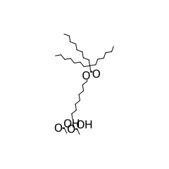 CC(=O)O.CC(=O)O.CCCCCCCCCOC(=O)C(CCCCCC)(CCCCCCC)CCCCCCCC